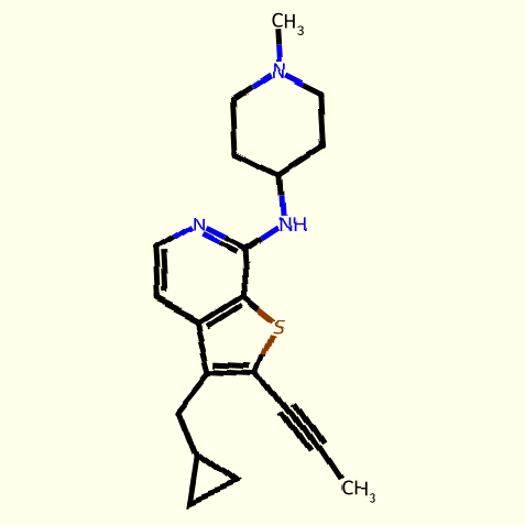 CC#Cc1sc2c(NC3CCN(C)CC3)nccc2c1CC1CC1